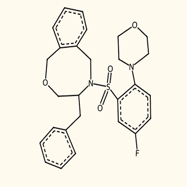 O=S(=O)(c1cc(F)ccc1N1CCOCC1)N1Cc2ccccc2COCC1Cc1ccccc1